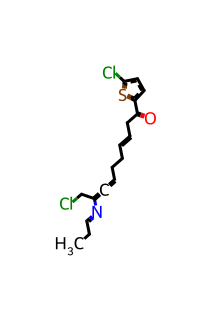 CC/C=N/C(=C=CCC/C=C/CC(=O)c1ccc(Cl)s1)CCl